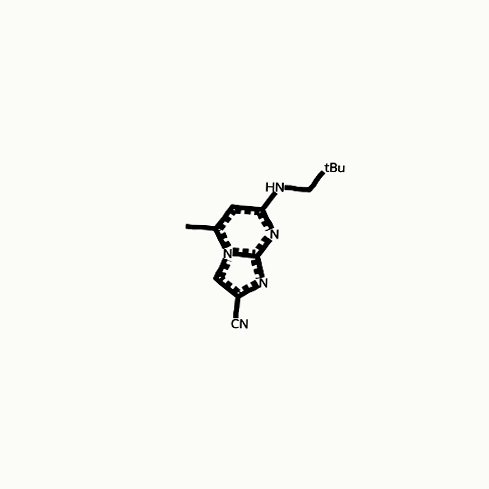 Cc1cc(NCC(C)(C)C)nc2nc(C#N)cn12